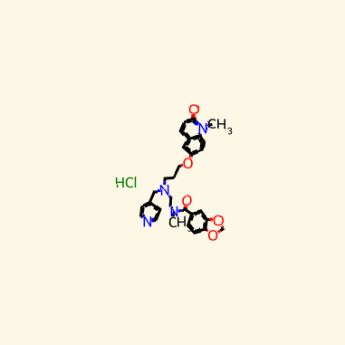 CN(CCN(CCCOc1ccc2c(ccc(=O)n2C)c1)Cc1ccncc1)C(=O)c1ccc2c(c1)OCO2.Cl